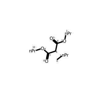 CCCC.CCCOC(=O)CC(=O)OCCC